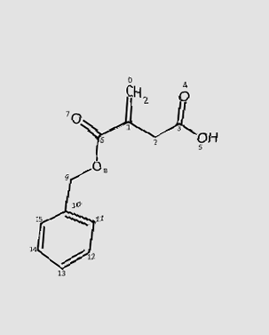 C=C(CC(=O)O)C(=O)OCc1ccccc1